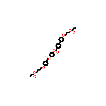 C=CC(=O)OCCCCOc1ccc(C(=O)Oc2ccc(OC(=O)c3ccc(-c4ccc(OCCCOC(=O)C=C)cc4)cc3)cc2)cc1